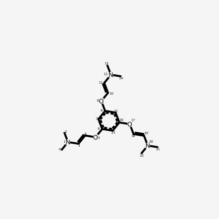 CN(C)/C=C/Oc1cc(O/C=C/N(C)C)cc(O/C=C/N(C)C)c1